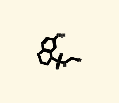 CC(C)CNS(=O)(=O)N1CCOc2ncc(C(=O)O)cc21